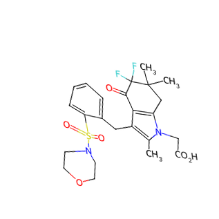 Cc1c(Cc2ccccc2S(=O)(=O)N2CCOCC2)c2c(n1CC(=O)O)CC(C)(C)C(F)(F)C2=O